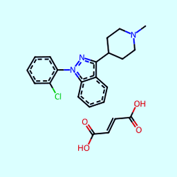 CN1CCC(c2nn(-c3ccccc3Cl)c3ccccc23)CC1.O=C(O)C=CC(=O)O